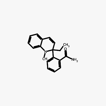 CCC1(c2ccccc2C(N)=O)C=Cc2ccccc2N1C